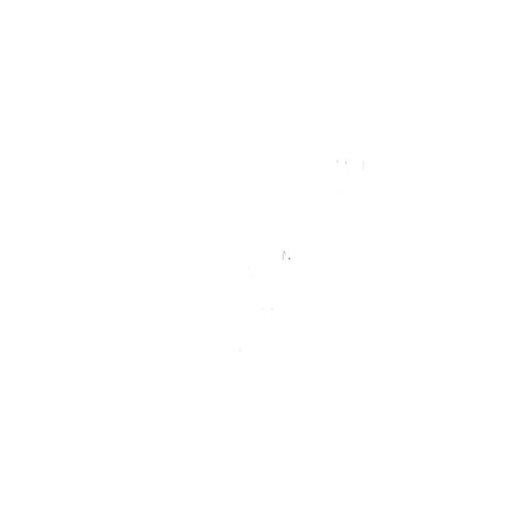 O=C(O)[C@@H]1CCCN(S(=O)(=O)c2ccccc2C(F)(F)F)C1